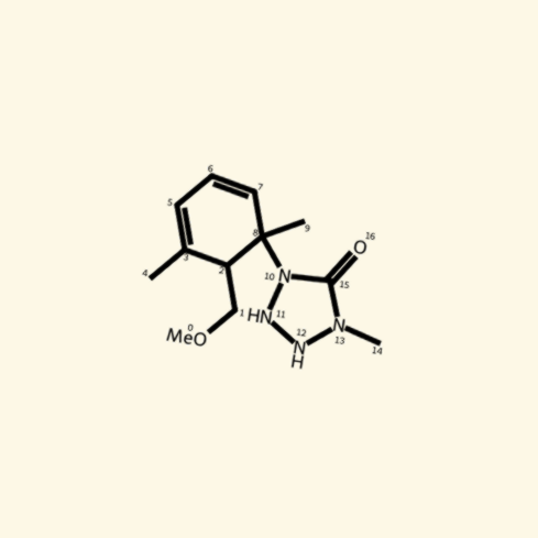 COCC1C(C)=CC=CC1(C)N1NNN(C)C1=O